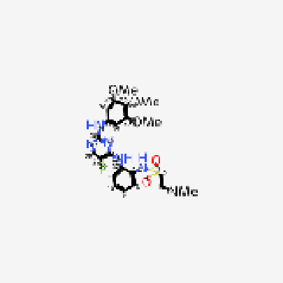 CNCCS(=O)(=O)Nc1ccccc1Nc1nc(Nc2cc(OC)c(OC)c(OC)c2)ncc1F